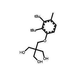 Cc1ccc(OCC(CO)(CO)CO)c(C(C)(C)C)c1C(C)(C)C